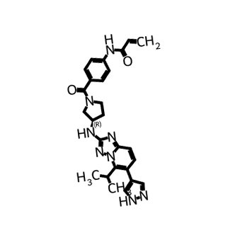 C=CC(=O)Nc1ccc(C(=O)N2CC[C@@H](Nc3nc4ccc(-c5cn[nH]c5)c(C(C)C)n4n3)C2)cc1